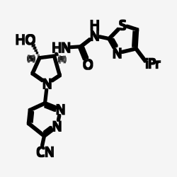 CC(C)c1csc(NC(=O)N[C@@H]2CN(c3ccc(C#N)nn3)C[C@@H]2O)n1